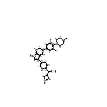 Cc1cc(-c2cnc3[nH]cc(-c4ccc(C(O)C5CNC5)cc4)c3c2)cc(C)c1N1CCN(C)CC1